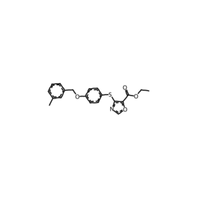 CCOC(=O)c1ocnc1Sc1ccc(OCc2cccc(C)c2)cc1